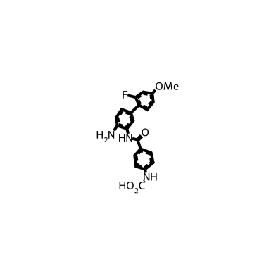 COc1ccc(-c2ccc(N)c(NC(=O)c3ccc(NC(=O)O)cc3)c2)c(F)c1